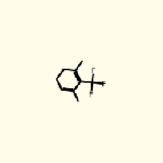 CC1=CC[CH]C(C)=C1C(F)(F)F